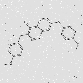 COc1ccc(Sc2ccc3c(=O)n(Cc4ccc(OC)nc4)ncc3c2)cc1